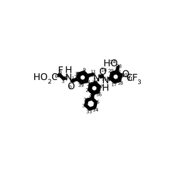 O=C(NCC(F)C(=O)O)c1ccc(CN(C(=O)Nc2ccc(OC(F)(F)F)c(CO)c2)c2ccc(C3CCCCC3)cc2)cc1